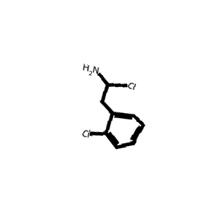 NC(Cl)Cc1ccccc1Cl